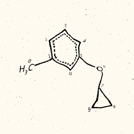 Cc1[c]ccc(OC2CC2)c1